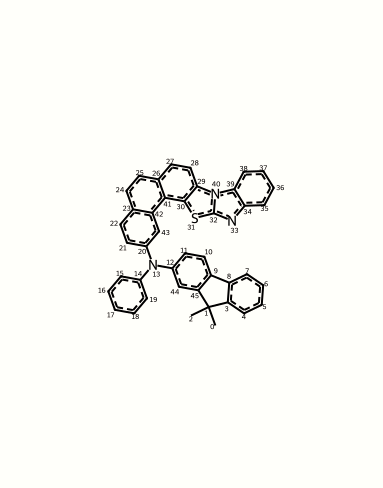 CC1(C)c2ccccc2-c2ccc(N(c3ccccc3)c3ccc4ccc5ccc6c(sc7nc8ccccc8n76)c5c4c3)cc21